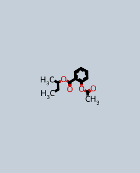 CCC(C)OC(=O)c1ccccc1OC(C)=O